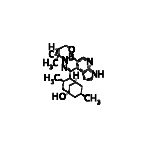 C[C@@H]1C[C@H]2C[C@@](O)(C1)C[C@@H](C)C2C1=NN2B(OCCC2(C)C)c2cnc3[nH]ccc3c21